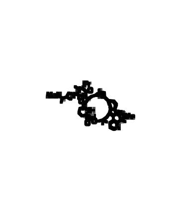 CCn1c(-c2cccnc2[C@H](C)OC)c2c3cc(ccc31)-c1csc(n1)C[C@H](NC(=O)[C@H](C(C)C)N(C)C(=O)N1CC([C@@H](C)NC)C1)C(=O)N1CCC[C@@](O)(N1)C(=O)OCC(C)(C)C2